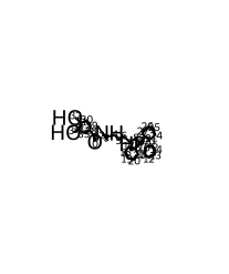 O=C(NCCCCCC[PH](c1ccccc1)(c1ccccc1)c1ccccc1)c1ccc(O)c(O)c1